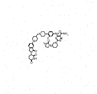 CN1CCN([C@@H]2CCCN(c3nnc(C(N)=O)c(Nc4ccc(N5CCN(CC6CCN(c7ccc8c(c7)C(=O)N(C7CCC(=O)NC7=O)C8)CC6)CC5)c(F)c4)n3)C2)C1=O